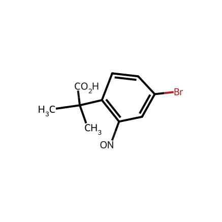 CC(C)(C(=O)O)c1ccc(Br)cc1N=O